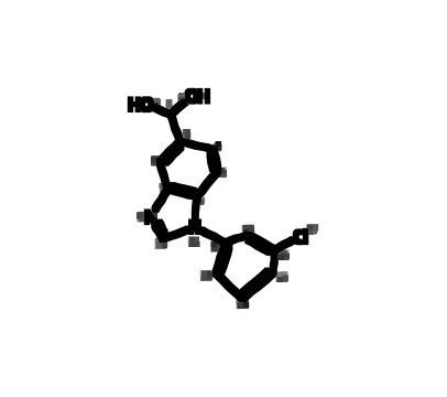 OC(O)c1ccc2c(c1)ncn2-c1cccc(Cl)c1